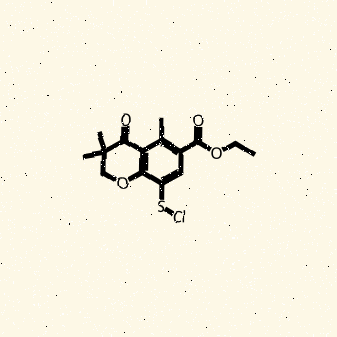 CCOC(=O)c1cc(SCl)c2c(c1C)C(=O)C(C)(C)CO2